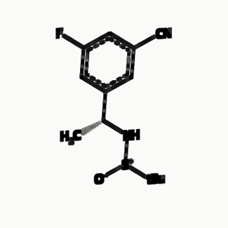 C[C@@H](N[S+]([O-])C(C)(C)C)c1cc(F)cc(C#N)c1